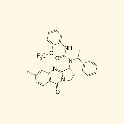 CC(c1ccccc1)N(C(=O)Nc1ccccc1OC(F)(F)F)C1CCn2c1nc1cc(F)ccc1c2=O